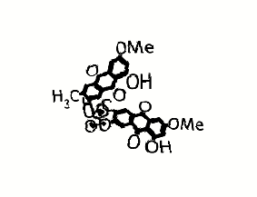 COc1cc(O)c2c(c1)C(=O)c1cc(C)c(OS(=O)(=O)Oc3cc4c(cc3C)C(=O)c3cc(OC)cc(O)c3C4=O)cc1C2=O